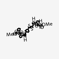 COC(=O)N[C@H](C(=O)N1CC=CC1c1nc(-c2csc3c(-c4ccc(-c5c[nH]c(C6CCCN6C(=O)[C@H](NC(=O)OC)c6ccccc6)n5)cc4)csc23)c[nH]1)C(C)C